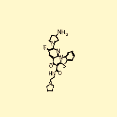 NC1CCN(c2nc3c(cc2F)c(=O)c(C(=O)NCCN2CCCC2)c2sc4ccccc4n23)C1